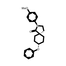 COc1ccc(N2CC[C@]3(CC[C@@H](Oc4ccccc4)CC3)C2=O)cc1